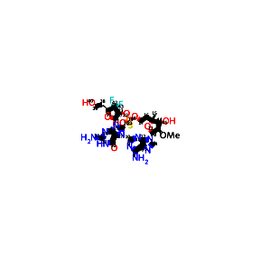 CO[C@H]1[C@H](n2cnc3c(N)ncnc32)O[C@](C)(CCOP(O)(=S)O[C@H]2[C@H](n3cnc4c(=O)[nH]c(N)nc43)O[C@H](CCO)C2(F)F)[C@H]1O